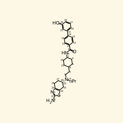 CCCN(CCC1CCC(NC(=O)c2ccc(-c3cccc(O)c3)cc2)CC1)[C@H]1CCc2nc(N)sc2C1